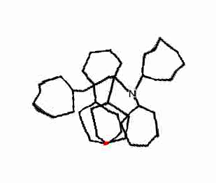 C1CCC(N(C2CCCCC2)C2(C3CCCCC3)CCCCC2(C2CCCCC2)C2CCCCC2)CC1